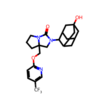 O=C1N(C2C3CC4CC2CC(O)(C4)C3)CC2(COc3ccc(C(F)(F)F)cn3)CCCN12